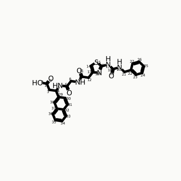 O=C(O)CC(NC(=O)CNC(=O)Cc1csc(NC(=O)NCc2ccccc2)n1)c1ccc2ccccc2c1